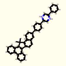 CC1(C)c2c(ccc3cc(-c4ccc(-c5cnc(-c6ccccc6)cn5)cc4)ccc23)-c2c1c1ccccc1c1ccccc21